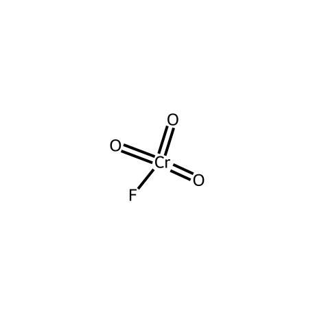 [O]=[Cr](=[O])(=[O])[F]